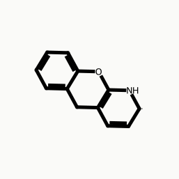 [CH]1C=CC2=C(N1)Oc1ccccc1C2